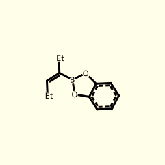 CC/C=C(/CC)B1Oc2ccccc2O1